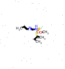 CC=CN=CNP(=S)(OC)SC(C)CC